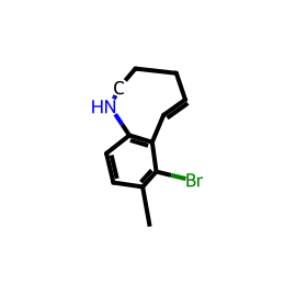 Cc1ccc2c(c1Br)/C=C/CCCN2